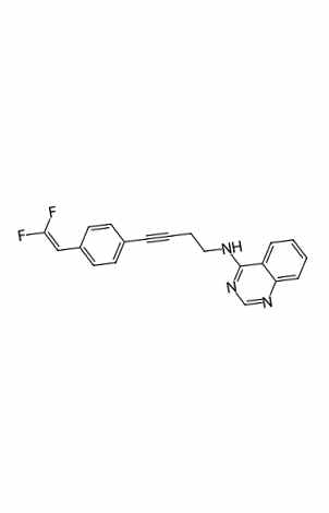 FC(F)=Cc1ccc(C#CCCNc2ncnc3ccccc23)cc1